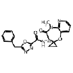 CN1C(=O)[C@@H](NC(=O)c2nnc(Cc3ccccc3)o2)C2(CC2)Oc2cccnc21